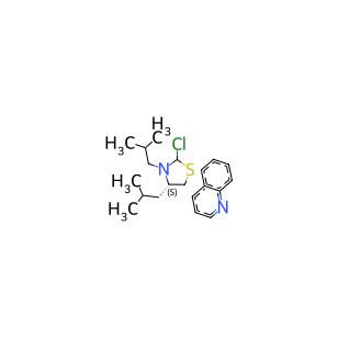 CC(C)C[C@H]1CSC(Cl)N1CC(C)C.c1ccc2ncccc2c1